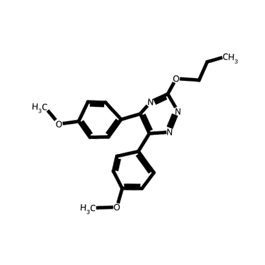 CCCOc1nnc(-c2ccc(OC)cc2)c(-c2ccc(OC)cc2)n1